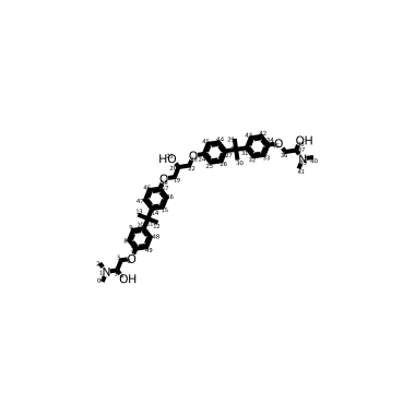 CN(C)C(O)COc1ccc(C(C)(C)c2ccc(OCC(O)COc3ccc(C(C)(C)c4ccc(OCC(O)N(C)C)cc4)cc3)cc2)cc1